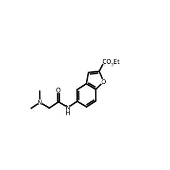 CCOC(=O)c1cc2cc(NC(=O)CN(C)C)ccc2o1